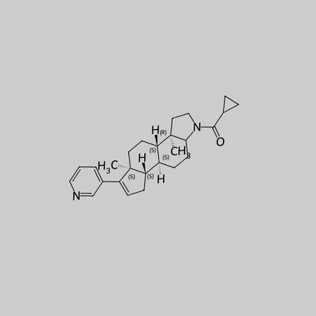 C[C@]12CCN(C(=O)C3CC3)C1CC[C@@H]1[C@@H]2CC[C@]2(C)C(c3cccnc3)=CC[C@@H]12